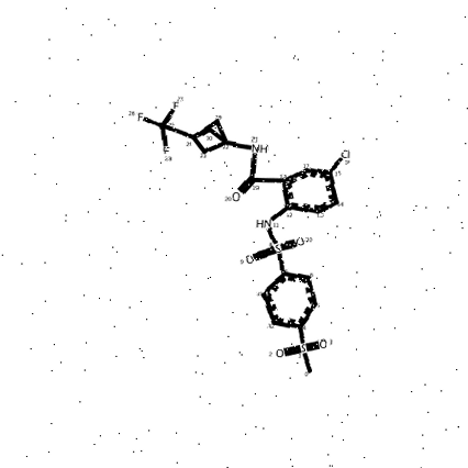 CS(=O)(=O)c1ccc(S(=O)(=O)Nc2ccc(Cl)cc2C(=O)NC23CC(C(F)(F)F)(C2)C3)cc1